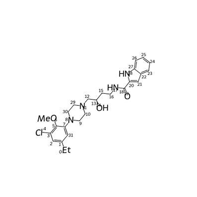 CCc1cc(Cl)c(OC)c(N2CCN(C[C@H](O)CCNC(=O)c3cc4ccccc4[nH]3)CC2)c1